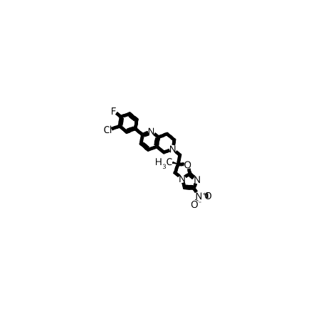 C[C@]1(CN2CCc3nc(-c4ccc(F)c(Cl)c4)ccc3C2)Cn2cc([N+](=O)[O-])nc2O1